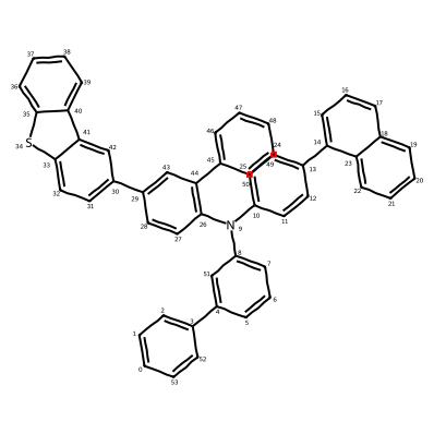 c1ccc(-c2cccc(N(c3ccc(-c4cccc5ccccc45)cc3)c3ccc(-c4ccc5sc6ccccc6c5c4)cc3-c3ccccc3)c2)cc1